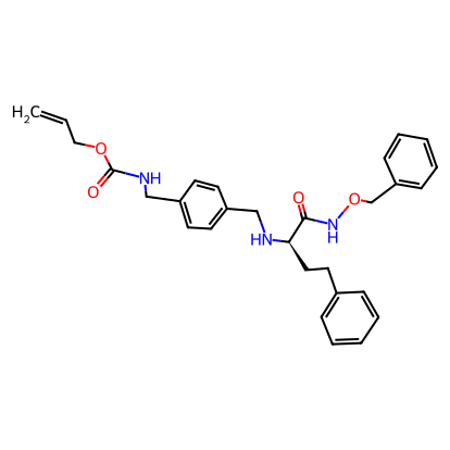 C=CCOC(=O)NCc1ccc(CN[C@H](CCc2ccccc2)C(=O)NOCc2ccccc2)cc1